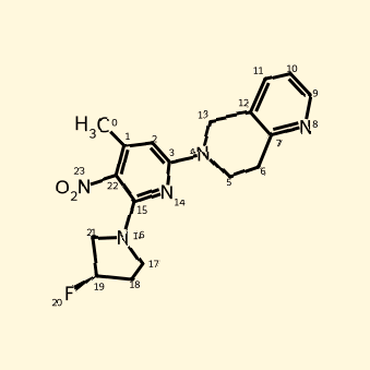 Cc1cc(N2CCc3ncccc3C2)nc(N2CC[C@@H](F)C2)c1[N+](=O)[O-]